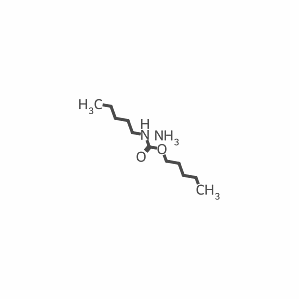 CCCCCNC(=O)OCCCCC.N